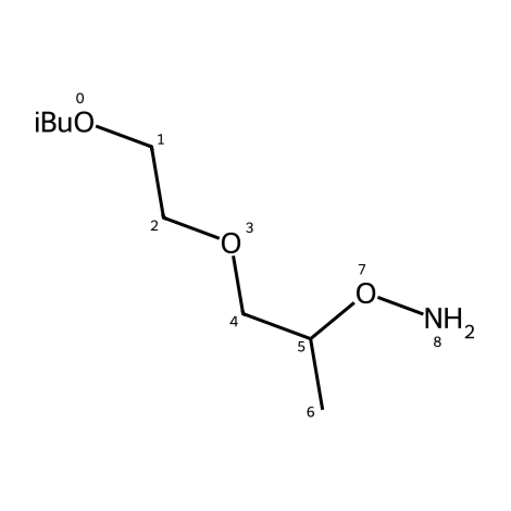 CC(C)COCCOCC(C)ON